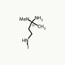 CN[C@](C)(N)CCNI